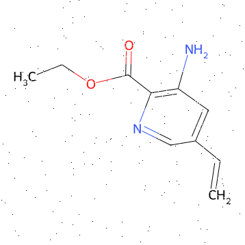 C=Cc1cnc(C(=O)OCC)c(N)c1